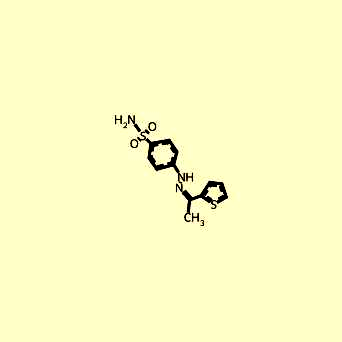 CC(=NNc1ccc(S(N)(=O)=O)cc1)c1cccs1